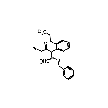 CC(C)CC(=O)C(c1ccccc1CCC(=O)O)N(C=O)OCc1ccccc1